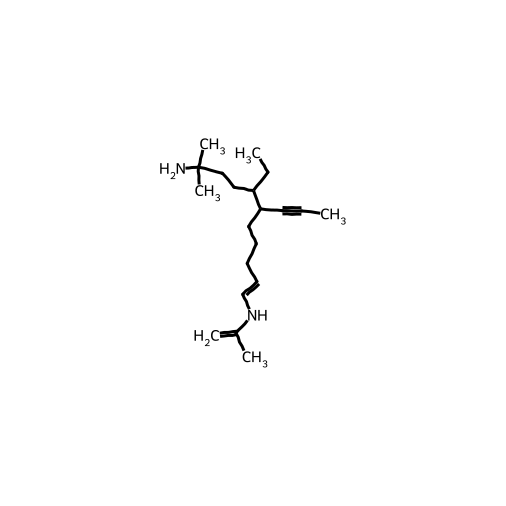 C=C(C)N/C=C/CCCC(C#CC)C(CC)CCC(C)(C)N